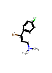 CN(C)C/C=C(/Br)c1ccc(Cl)cc1